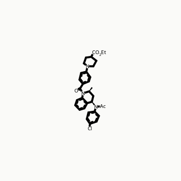 CCOC(=O)C1CCN(c2ccc(C(=O)N3c4ccccc4[C@H](N(C(C)=O)c4ccc(Cl)cc4)C[C@@H]3C)cc2)CC1